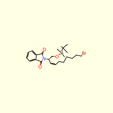 CC(C)(C)[Si](C)(C)OC[C@@H](/C=C\CCCCCCBr)N1C(=O)c2ccccc2C1=O